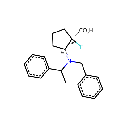 CC(c1ccccc1)N(Cc1ccccc1)[C@@H]1CCC[C@]1(F)C(=O)O